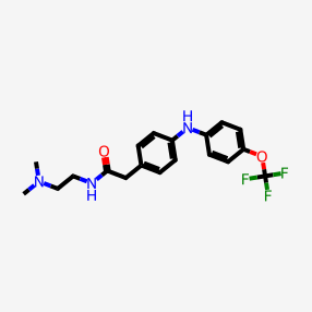 CN(C)CCNC(=O)Cc1ccc(Nc2ccc(OC(F)(F)F)cc2)cc1